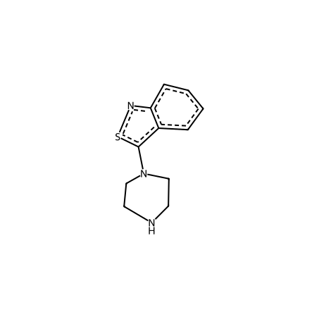 c1ccc2c(N3CCNCC3)snc2c1